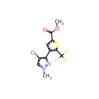 COC(=O)c1cc(-c2nn(C)cc2Cl)c(C(F)(F)F)s1